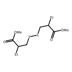 CCC(CSSCC(CC)C(=O)OC)C(=O)OC